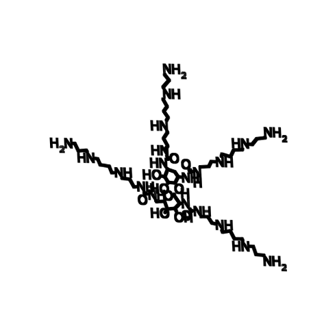 NCCCNCCCCNCCCNC(=O)NCC1OC(OC2C(NC(=O)NCCCNCCCCNCCCN)CC(NC(=O)NCCCNCCCCNCCCN)C(O)C2O)C(NC(=O)NCCCNCCCCNCCCN)C(O)C1O